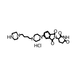 Cl.O=C1CCC(N2C(=O)c3ccc(N4CCN(CCCCN5CCNCC5)CC4)cc3C2=O)C(=O)N1